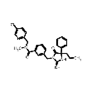 CCCC1(c2ccccc2)NC(=N)N(Cc2cccc(C(=O)N(C)Cc3ccc(Cl)cn3)c2)C1=O